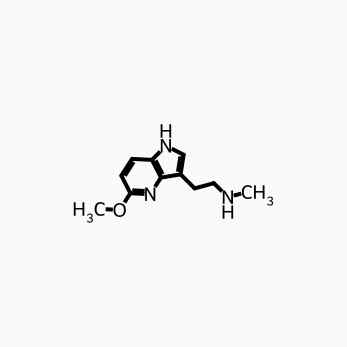 CNCCc1c[nH]c2ccc(OC)nc12